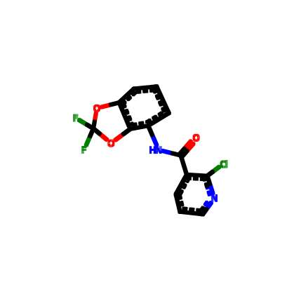 O=C(Nc1cccc2c1OC(F)(F)O2)c1cccnc1Cl